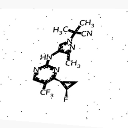 Cc1nn(C(C)(C)C#N)cc1Nc1ncc(C(F)(F)F)c([C@H]2C[C@H]2F)n1